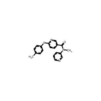 Cc1ccc(Sc2ccc(C(=O)N(C)c3cccnc3)cn2)cc1